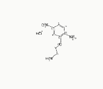 Cl.NCCOc1cc([N+](=O)[O-])ccc1N